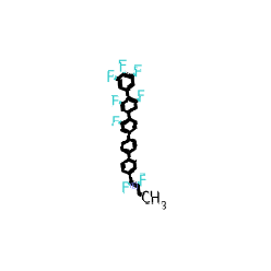 CC/C(F)=C(\F)c1ccc(-c2ccc(-c3ccc(-c4cc(F)c(-c5cc(F)c(F)c(F)c5)c(F)c4)c(F)c3)cc2)cc1